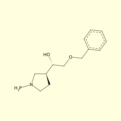 O[C@H](COCc1ccccc1)[C@H]1CCN(P)C1